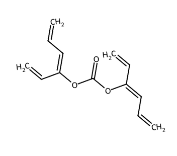 C=CC=C(C=C)OC(=O)OC(C=C)=CC=C